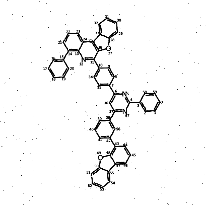 c1ccc(-c2nc(-c3ccc(-c4nc5c(-c6ccccc6)cccc5c5c4oc4ccccc45)cc3)cc(-c3cccc(-c4cccc5c4oc4ccccc45)c3)n2)cc1